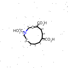 O=C(O)C1CCCCCN(C(=O)O)CCC(C(=O)O)CC1